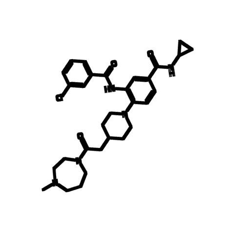 CN1CCCN(C(=O)CC2CCN(c3ccc(C(=O)NC4CC4)cc3NC(=O)c3cccc(Cl)c3)CC2)CC1